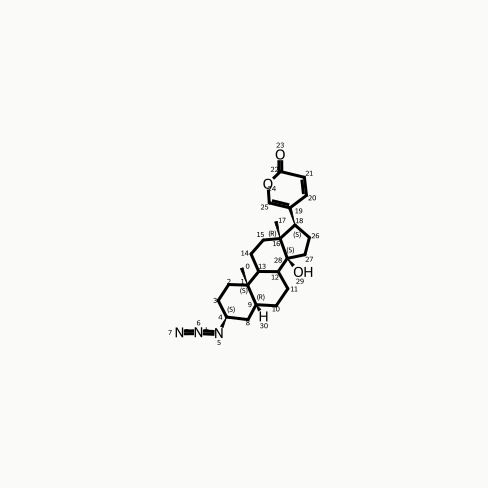 C[C@]12CC[C@H](N=[N+]=[N-])C[C@H]1CCC1C2CC[C@]2(C)[C@@H](c3ccc(=O)oc3)CC[C@]12O